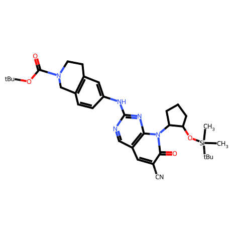 CC(C)(C)OC(=O)N1CCc2cc(Nc3ncc4cc(C#N)c(=O)n(C5CCCC5O[Si](C)(C)C(C)(C)C)c4n3)ccc2C1